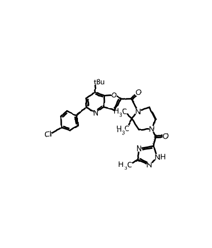 Cc1n[nH]c(C(=O)N2CCN(C(=O)c3cc4nc(-c5ccc(Cl)cc5)cc(C(C)(C)C)c4o3)C(C)(C)C2)n1